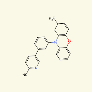 CC1C=CC2=C(C1)N(c1cccc(-c3ccc(C#N)nc3)c1)c1ccccc1O2